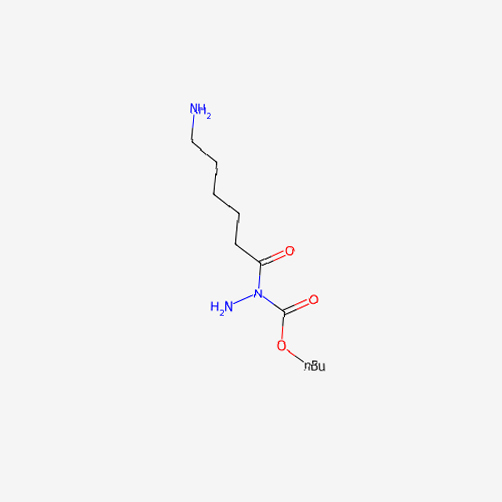 CCCCOC(=O)N(N)C(=O)CCCCCN